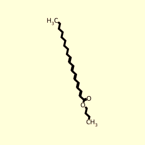 CCCCCCCCC/C=C/C=C/C=C/C=C/C=C/C(=O)OCCCC